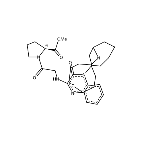 COC(=O)[C@@H]1CCCN1C(=O)CNc1nc2ccccc2n(C2CC3CCC(C2)N3C2CCCCCCC2)c1=O